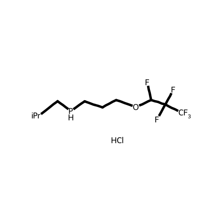 CC(C)CPCCCOC(F)C(F)(F)C(F)(F)F.Cl